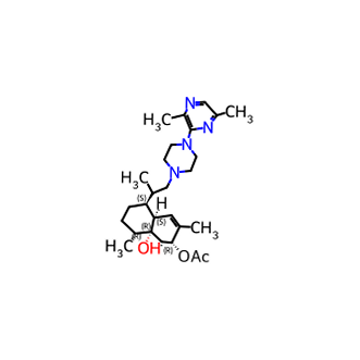 CC(=O)O[C@@H]1[CH][C@@]2(O)[C@H](C)CC[C@@H](C(C)CN3CCN(c4nc(C)cnc4C)CC3)[C@H]2C=C1C